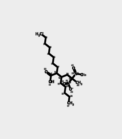 CCCCCCCCC(C(=O)O)C(CCCCC)CC(C)([N+](=O)[O-])[N+](=O)[O-]